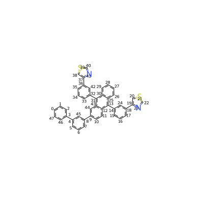 c1ccc(-c2cccc(-c3ccc4c(-c5cccc(-c6cscn6)c5)c5ccccc5c(-c5cccc(-c6cscn6)c5)c4c3)c2)cc1